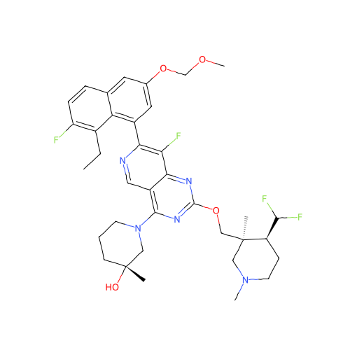 CCc1c(F)ccc2cc(OCOC)cc(-c3ncc4c(N5CCC[C@@](C)(O)C5)nc(OC[C@]5(C)CN(C)CC[C@@H]5C(F)F)nc4c3F)c12